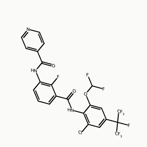 O=C(Nc1cccc(C(=O)Nc2c(Cl)cc(C(F)(C(F)(F)F)C(F)(F)F)cc2OC(F)F)c1F)c1ccncc1